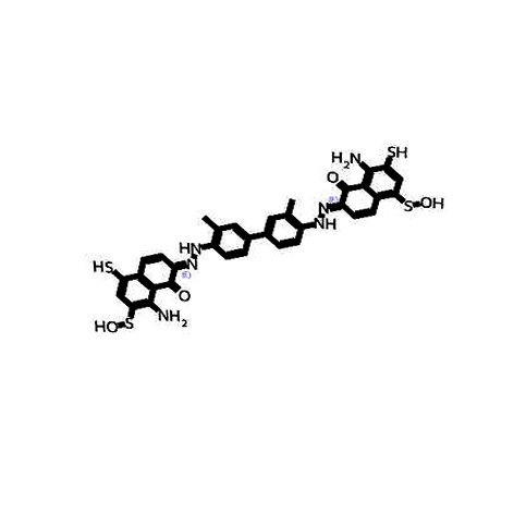 Cc1cc(-c2ccc(N/N=C3\C=Cc4c(SO)cc(S)c(N)c4C3=O)c(C)c2)ccc1N/N=C1\C=Cc2c(S)cc(SO)c(N)c2C1=O